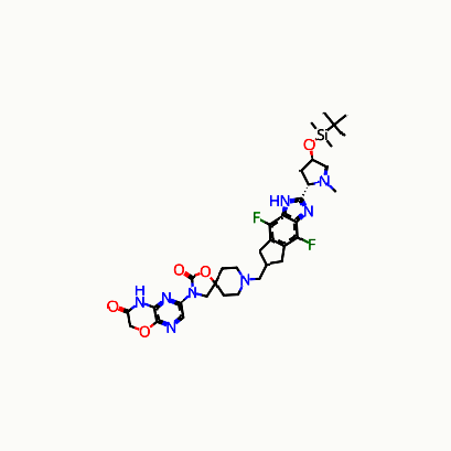 CN1C[C@H](O[Si](C)(C)C(C)(C)C)C[C@H]1c1nc2c(F)c3c(c(F)c2[nH]1)CC(CN1CCC2(CC1)CN(c1cnc4c(n1)NC(=O)CO4)C(=O)O2)C3